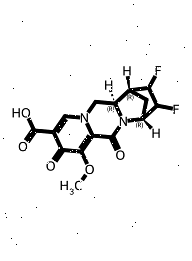 COc1c2n(cc(C(=O)O)c1=O)C[C@H]1[C@H]3C[C@H](C(F)C3F)N1C2=O